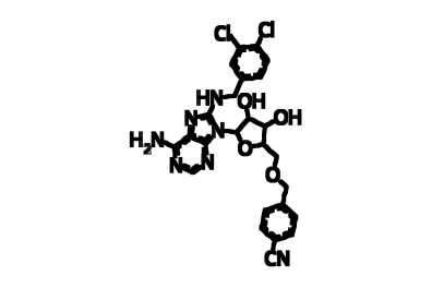 N#Cc1ccc(COCC2OC(n3c(NCc4ccc(Cl)c(Cl)c4)nc4c(N)ncnc43)C(O)C2O)cc1